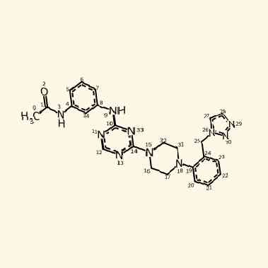 CC(=O)Nc1cccc(Nc2ncnc(N3CCN(c4ccccc4Cn4ccnn4)CC3)n2)c1